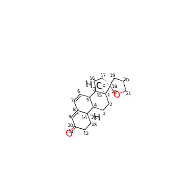 C[C@]12CCC3C(C=CC4=CC(=O)CC[C@@H]43)C1CC[C@@]21CCCO1